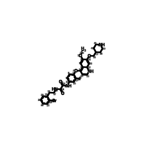 COC1=CC2=C(Oc3ccc(NC(=O)C(=O)NCCc4ccccc4Br)cc3F)C=CNC2C=C1OCC1CCNCC1